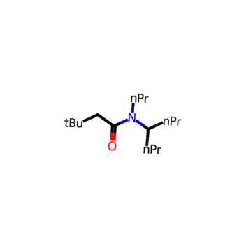 CCCC(CCC)N(CCC)C(=O)CC(C)(C)C